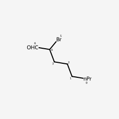 CCCCCCC(Br)C=O